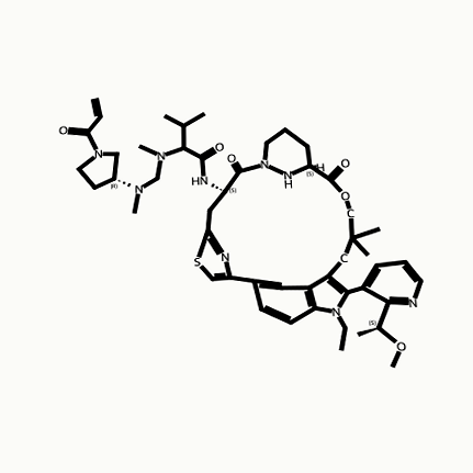 C=CC(=O)N1CC[C@@H](N(C)CN(C)C(C(=O)N[C@H]2Cc3nc(cs3)-c3ccc4c(c3)c(c(-c3cccnc3[C@H](C)OC)n4CC)CC(C)(C)COC(=O)[C@@H]3CCCN(N3)C2=O)C(C)C)C1